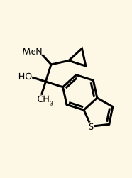 CNC(C1CC1)C(C)(O)c1ccc2ccsc2c1